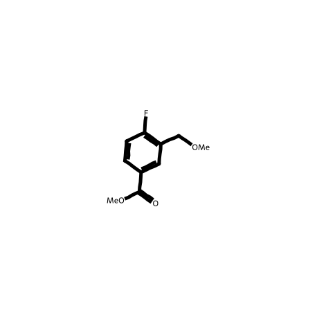 COCc1cc(C(=O)OC)ccc1F